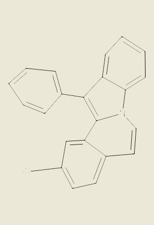 Clc1ccc2ccn3c4ccccc4c(-c4ccccc4)c3c2c1